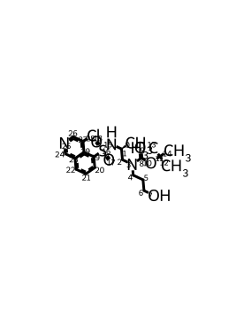 C[C@@H](CN(CCCO)C(=O)OC(C)(C)C)NS(=O)(=O)c1cccc2cncc(Cl)c12